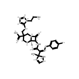 NC1(C(=NOc2ccc(F)cc2)C(=O)NC2C(=O)N3CC(CSc4nnnn4CCO)(C(=O)O)CS[C@H]23)N=CSN1